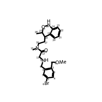 COCc1ccc(Br)cc1CNCC(=O)N(C)CCC1c2ccccc2NOC1C